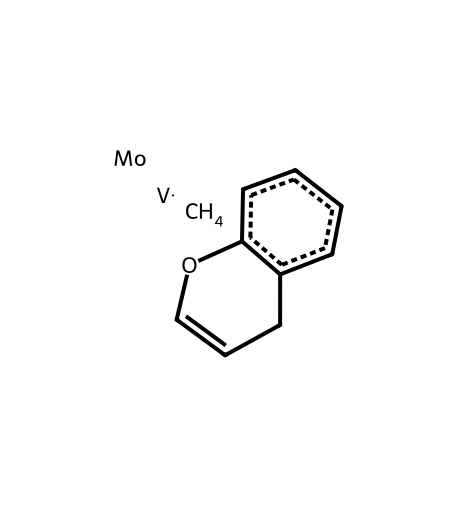 C.C1=COc2ccccc2C1.[Mo].[V]